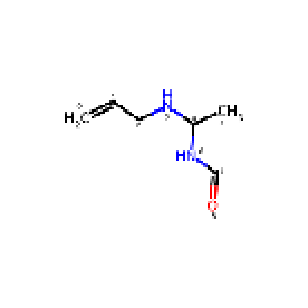 C=CCNC(C)N[C]=O